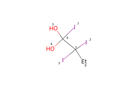 CCC(I)(I)C(O)(O)I